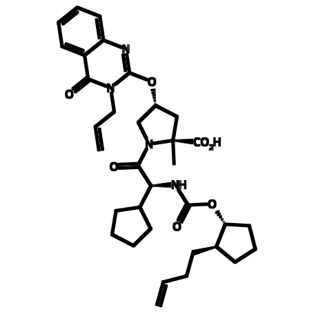 C=CCC[C@@H]1CCC[C@H]1OC(=O)N[C@H](C(=O)N1C[C@H](Oc2nc3ccccc3c(=O)n2CC=C)C[C@@]1(C)C(=O)O)C1CCCC1